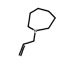 C=C[CH]N1CCCCCC1